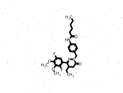 CCCCCC(=O)Nc1ccc(CN2N=C(c3cc(F)c(OC)c(OC)c3F)C(CC)CC2=O)cc1